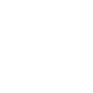 CCc1ccccc1OP(Oc1ccccc1)Oc1ccccc1CC